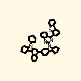 c1ccc(-n2c3ccccc3c3c4ccccc4c(-c4ccc5c6ccccc6n(-c6nc(-c7cccc8c7sc7ccccc78)c7ccccc7n6)c5c4)cc32)cc1